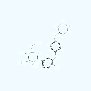 OC[C@H]1O[C@@H](c2ccc(Cl)c(Cc3ccc(OC4CCNCC4)cc3)c2)[C@H](O)[C@@H](O)[C@@H]1O